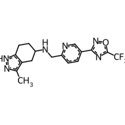 Cc1n[nH]c2c1CC(NCc1ccc(-c3noc(C(F)(F)F)n3)cn1)CC2